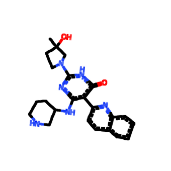 CC1(O)CCN(c2nc(NC3CCCNC3)c(-c3ccc4ccccc4n3)c(=O)[nH]2)C1